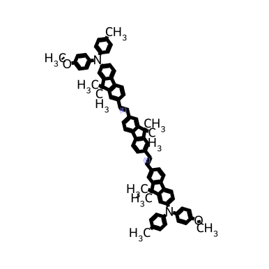 COc1ccc(N(c2ccc(C)cc2)c2ccc3c(c2)C(C)(C)c2cc(/C=C/c4ccc5c(c4)C(C)(C)c4cc(/C=C/c6ccc7c(c6)C(C)(C)c6cc(N(c8ccc(C)cc8)c8ccc(OC)cc8)ccc6-7)ccc4-5)ccc2-3)cc1